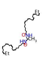 CC/C=C\C/C=C\C/C=C\C/C=C\C/C=C\CCCCCC(=O)NCC(C)CNC(=O)CCCCC/C=C\C/C=C\C/C=C\C/C=C\C/C=C\CC